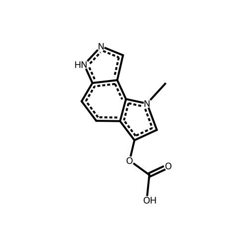 Cn1cc(OC(=O)O)c2ccc3[nH]ncc3c21